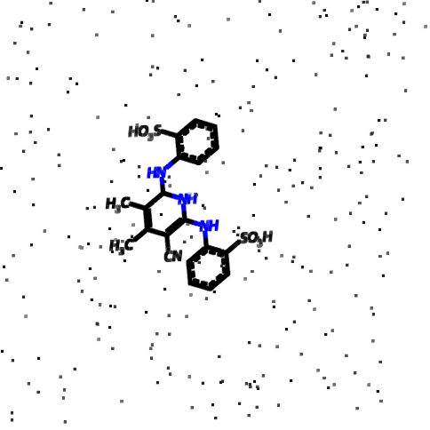 CC1=C(C)C(Nc2ccccc2S(=O)(=O)O)NC(Nc2ccccc2S(=O)(=O)O)=C1C#N